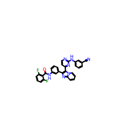 N#Cc1cccc(Nc2nccc(-c3c(-c4cccc(NC(=O)c5c(F)cccc5F)c4)nc4ccccn34)n2)c1